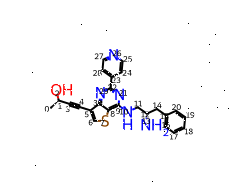 C[C@@H](O)C#Cc1csc2c(NC[C@@H](N)Cc3ccccc3)nc(-c3ccncc3)nc12